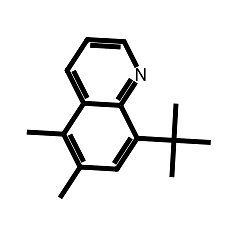 Cc1cc(C(C)(C)C)c2ncccc2c1C